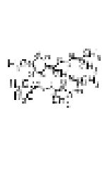 C=C(CCC=C(C)C)C1=CC=C(C)CC1.CC(C)=CCCC(C)=C1CC=C(C)CC1